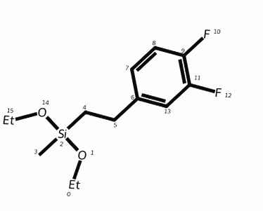 CCO[Si](C)(CCc1ccc(F)c(F)c1)OCC